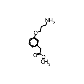 COC(=O)Cc1cccc(OCCCN)c1